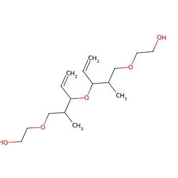 C=CC(OC(C=C)C(C)COCCO)C(C)COCCO